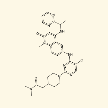 CC(Nc1cc(=O)n(C)c2ccc(Nc3nc(N4CCC(CC(=O)N(C)C)CC4)ncc3Cl)cc12)c1ncccn1